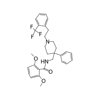 COc1cccc(OC)c1C(=O)NCC1(c2ccccc2)CCN(CCc2ccccc2C(F)(F)F)CC1